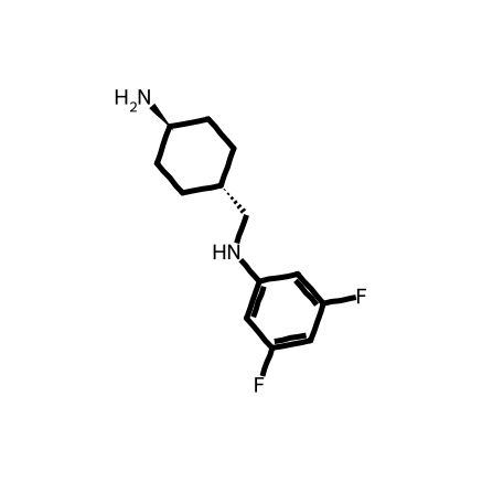 N[C@H]1CC[C@H](CNc2cc(F)cc(F)c2)CC1